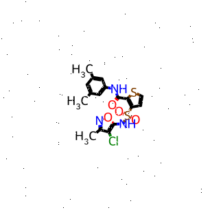 Cc1cc(C)cc(NC(=O)c2sccc2S(=O)(=O)Nc2onc(C)c2Cl)c1